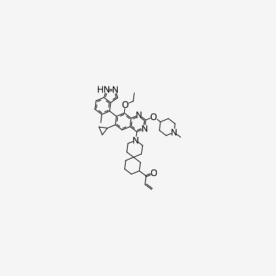 C=CC(=O)C1CCCC2(CCN(c3nc(OC4CCN(C)CC4)nc4c(OCC)c(-c5c(C)ccc6[nH]ncc56)c(C5CC5)cc34)CC2)C1